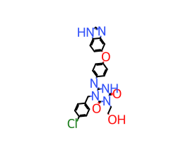 O=c1[nH]/c(=N\c2ccc(Oc3ccc4[nH]cnc4c3)cc2)n(Cc2ccc(Cl)cc2)c(=O)n1CCO